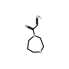 C=CC(=O)N1CCCOCC1